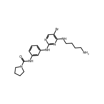 NCCCCNc1nc(Nc2cccc(NC(=O)N3CCCC3)c2)ncc1Br